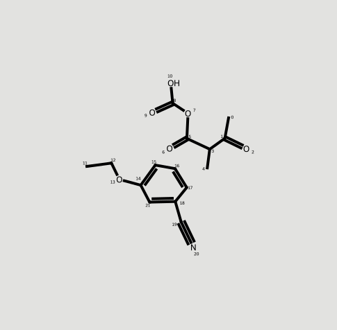 CC(=O)C(C)C(=O)OC(=O)O.CCOc1cccc(C#N)c1